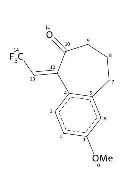 COc1ccc2c(c1)CCCC(=O)C2=CC(F)(F)F